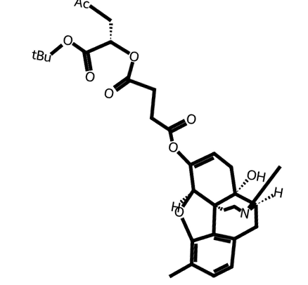 CC(=O)C[C@H](OC(=O)CCC(=O)OC1=CC[C@@]2(O)[C@H]3Cc4ccc(C)c5c4[C@@]2(CCN3C)[C@H]1O5)C(=O)OC(C)(C)C